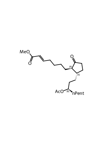 CCCCC[C@H](CC[C@H]1CCC(=O)[C@@H]1CCCCC=CC(=O)OC)OC(C)=O